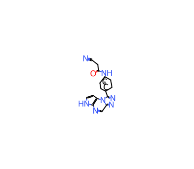 N#CCC(=O)NC12CCC(c3nnc4cnc5[nH]ccc5n34)(CC1)CC2